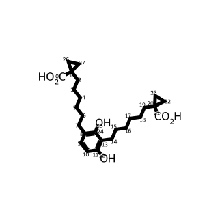 O=C(O)C1(CCCCCCc2ccc(O)c(CCCCCCC3(C(=O)O)CC3)c2O)CC1